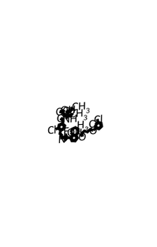 CCOC(=O)C(CC)(CC(=O)O)NC(=O)c1cc(F)c(Cn2cc(-c3cccc4c3OCCCN4C(=O)CCCOc3cccc(Cl)c3C)cn2)c(Cl)c1